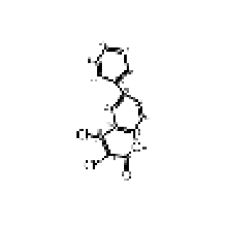 O=c1oc2ccc(-c3ccccc3)cc2c(Cl)c1Cl